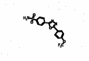 NS(=O)(=O)c1ccc(-c2nnc(-c3ccc(OC(F)(F)F)cc3)o2)cc1